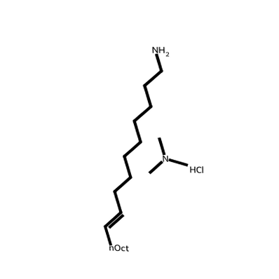 CCCCCCCCC=CCCCCCCCCN.CN(C)C.Cl